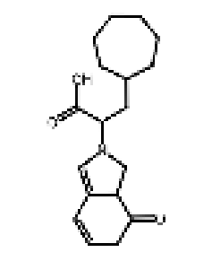 O=C1CC=CC2=CN(C(CC3CCCCCC3)C(=O)O)CC12